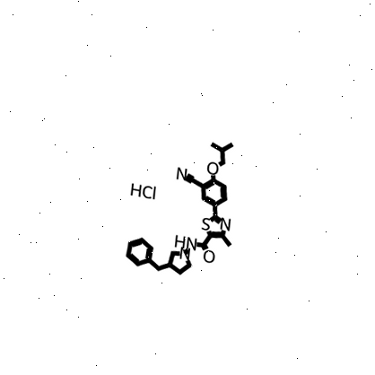 Cc1nc(-c2ccc(OCC(C)C)c(C#N)c2)sc1C(=O)NN1CCC(Cc2ccccc2)C1.Cl